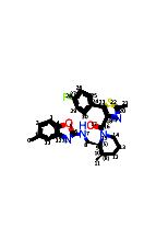 Cc1ccc2oc(NC[C@@H]3[C@H](C)CCCN3C(=O)c3nc(C)sc3-c3ccc(F)cc3)nc2c1